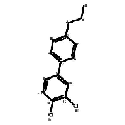 CCCc1ccc(-c2cnc(Cl)c(Cl)c2)cc1